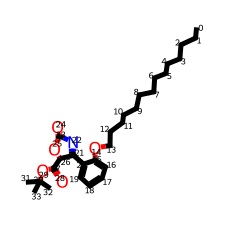 CCCCCCCCCCCCCCOc1ccccc1C1=NC(=O)OC1C(=O)OC(C)(C)C